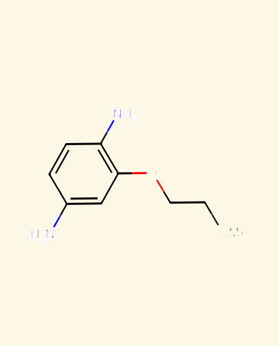 COCCOc1cc(N)ccc1N